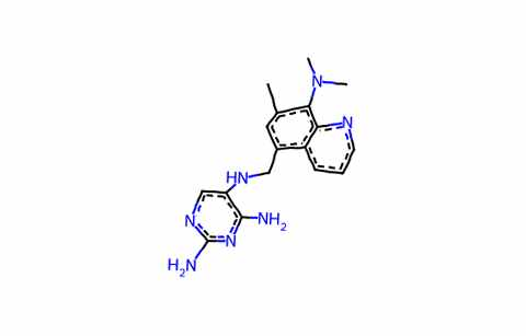 Cc1cc(CNc2cnc(N)nc2N)c2cccnc2c1N(C)C